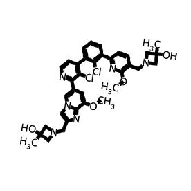 COc1nc(-c2cccc(-c3ccnc(-c4cc(OC)c5nc(CN6CC(C)(O)C6)cn5c4)c3Cl)c2Cl)ccc1CN1CC(C)(O)C1